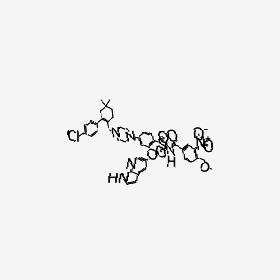 COCc1ccc(C(=O)NS(=O)(=O)c2ccc(N3CCN(CC4=C(c5ccc(Cl)cc5)CC(C)(C)CC4)CC3)cc2Oc2cnc3[nH]ccc3c2)cc1[N+](=O)[O-]